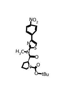 CN(C(=O)[C@@H]1CCCN1C(=O)OC(C)(C)C)c1nc(-c2ccc([N+](=O)[O-])cc2)cs1